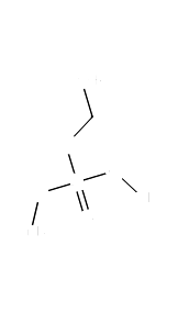 CCCCCCCCOP(=O)(OCCC)OCCCC